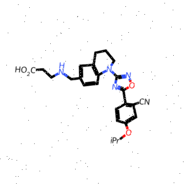 CC(C)Oc1ccc(-c2nc(N3CCCc4cc(CNCCC(=O)O)ccc43)no2)c(C#N)c1